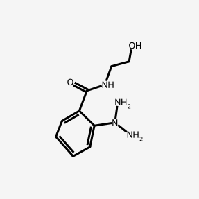 NN(N)c1ccccc1C(=O)NCCO